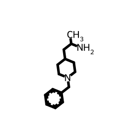 CC(N)CC1CCN(Cc2ccccc2)CC1